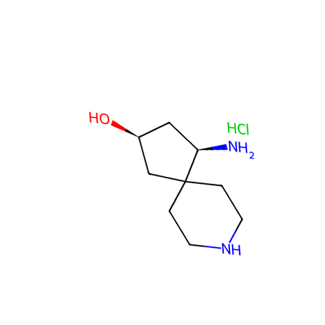 Cl.N[C@@H]1C[C@H](O)CC12CCNCC2